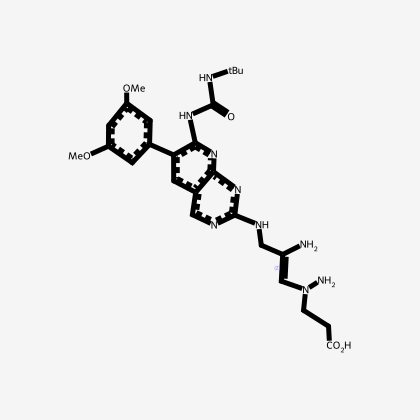 COc1cc(OC)cc(-c2cc3cnc(NC/C(N)=C/N(N)CCC(=O)O)nc3nc2NC(=O)NC(C)(C)C)c1